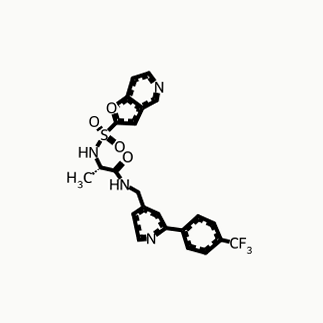 C[C@H](NS(=O)(=O)c1cc2cnccc2o1)C(=O)NCc1ccnc(-c2ccc(C(F)(F)F)cc2)c1